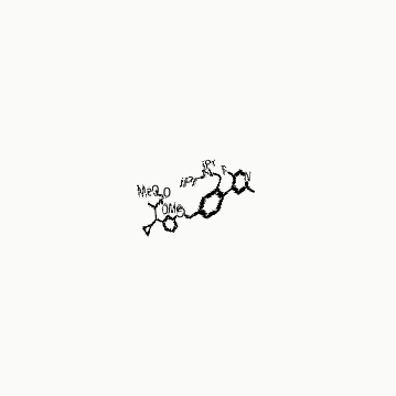 COP(=O)(OC)C(C)C(c1cccc(OCc2ccc(-c3cc(C)ncc3F)c(CN(C(C)C)C(C)C)c2)c1)C1CC1